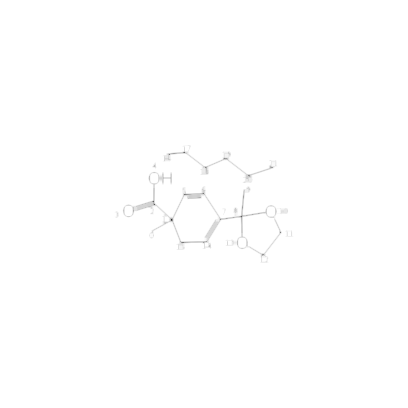 CC1(C(=O)O)C=CC(C2(C)OCCO2)=CC1.CCCCCC